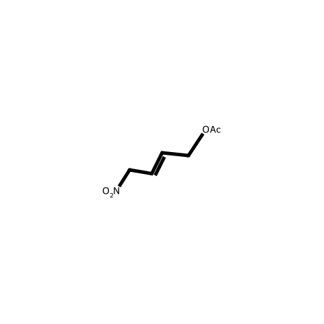 CC(=O)OCC=CC[N+](=O)[O-]